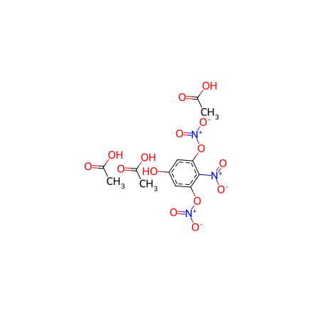 CC(=O)O.CC(=O)O.CC(=O)O.O=[N+]([O-])Oc1cc(O)cc(O[N+](=O)[O-])c1[N+](=O)[O-]